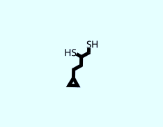 SCC(S)CCC1CC1